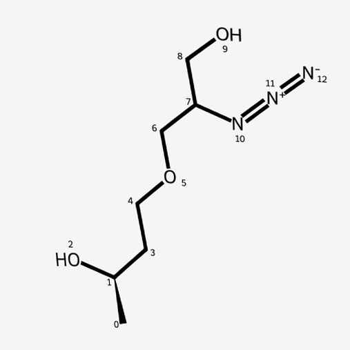 C[C@@H](O)CCOCC(CO)N=[N+]=[N-]